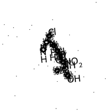 CC1(CN2CCNCC2)CCC(c2ccc(Cl)cc2)=C(CN2CCN(c3ccc(C(=O)NS(=O)(=O)c4ccc(N[C@H](CCN5CCC(O)CC5)CSc5ccccc5)c([N+](=O)[O-])c4)cc3)CC2)C1.Cl